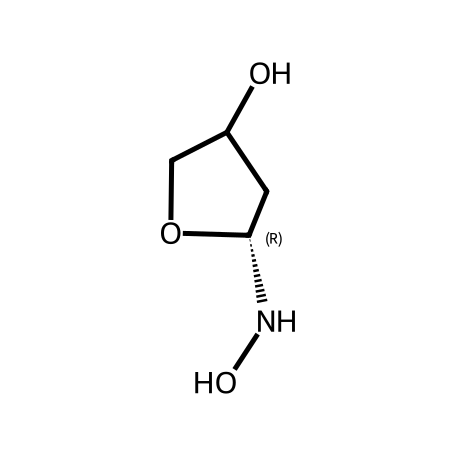 ON[C@H]1CC(O)CO1